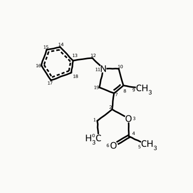 CCC(OC(C)=O)C1=C(C)CN(Cc2ccccc2)C1